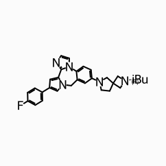 CC[C@@H](C)N1CC2(CCN(c3ccc4c(c3)Cn3cc(-c5ccc(F)cc5)cc3-c3nccn3-4)C2)C1